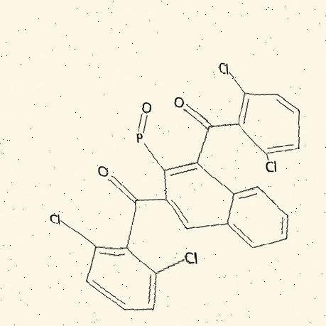 O=Pc1c(C(=O)c2c(Cl)cccc2Cl)cc2ccccc2c1C(=O)c1c(Cl)cccc1Cl